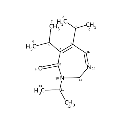 CC(C)C1=C(C(C)C)C(=O)N(C(C)C)CN=C1